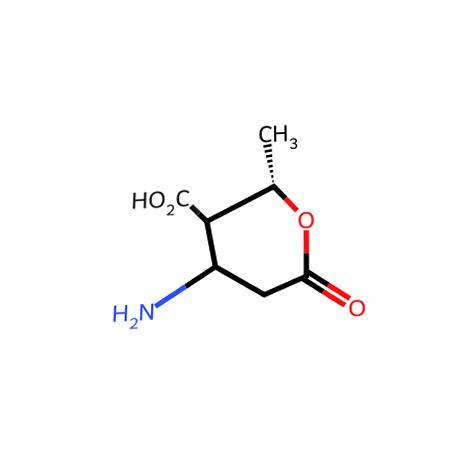 C[C@@H]1OC(=O)CC(N)C1C(=O)O